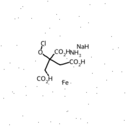 N.O=C(O)CC(CC(=O)O)(OCl)C(=O)O.[Fe].[NaH]